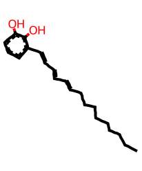 CCCCCCCCCC=CC=CC=Cc1cccc(O)c1O